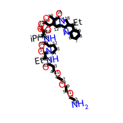 CCc1c2c(nc3ccccc13)-c1cc3c(c(=O)n1C2)COC(=O)C3OC(=O)[C@@H](NC(=O)C1CCCN1C(=O)C(CC)NC(=O)CCOCCOCCOCCN)C(C)C